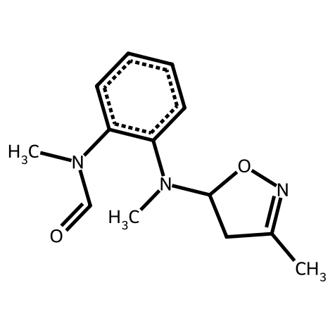 CC1=NOC(N(C)c2ccccc2N(C)C=O)C1